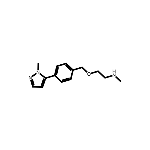 CNCCOCc1ccc(-c2ccnn2C)cc1